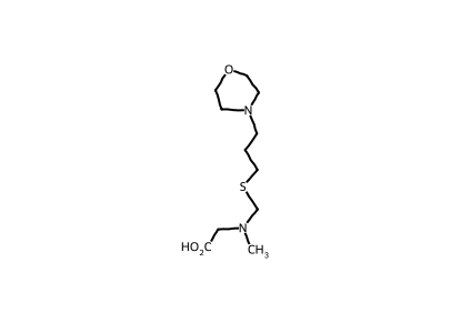 CN(CSCCCN1CCOCC1)CC(=O)O